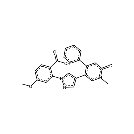 COc1ccc(C(=O)O)c(-n2cc(-c3cn(C)c(=O)cc3-c3ccccc3)cn2)c1